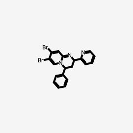 BrC1=CC2=NC(c3ccccn3)CC(c3ccccc3)N2C=C1Br